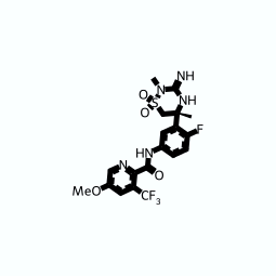 COc1cnc(C(=O)Nc2ccc(F)c([C@]3(C)CS(=O)(=O)N(C)C(=N)N3)c2)c(C(F)(F)F)c1